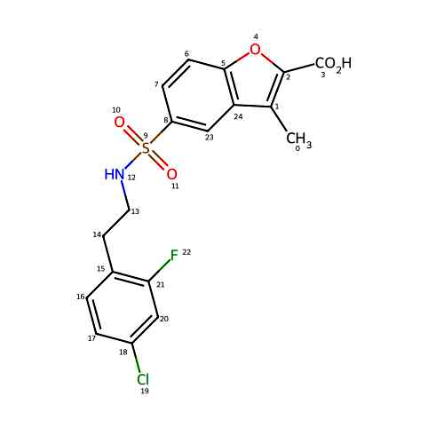 Cc1c(C(=O)O)oc2ccc(S(=O)(=O)NCCc3ccc(Cl)cc3F)cc12